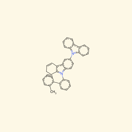 Cc1ccc#cc1-c1ccccc1-n1c2c(c3cc(-n4c5ccccc5c5ccccc54)ccc31)C=CCC2